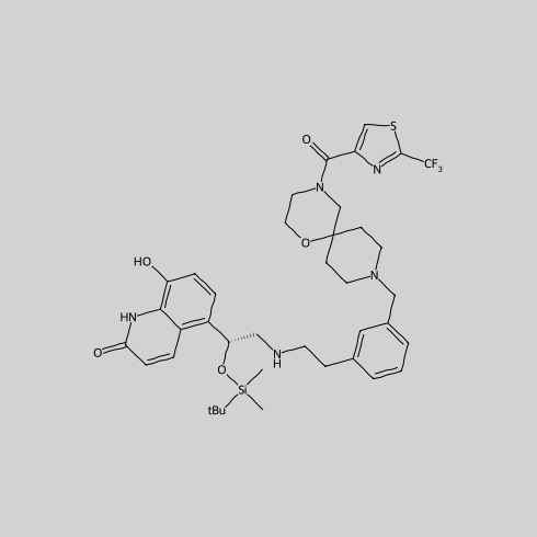 CC(C)(C)[Si](C)(C)O[C@@H](CNCCc1cccc(CN2CCC3(CC2)CN(C(=O)c2csc(C(F)(F)F)n2)CCO3)c1)c1ccc(O)c2[nH]c(=O)ccc12